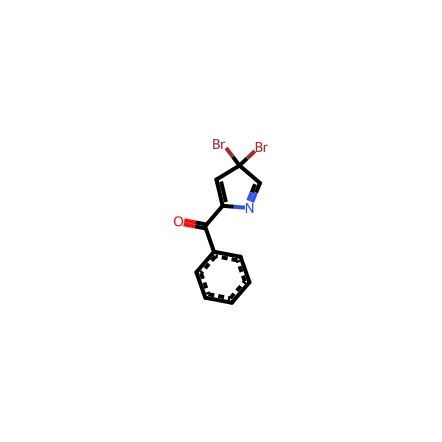 O=C(C1=CC(Br)(Br)C=N1)c1ccccc1